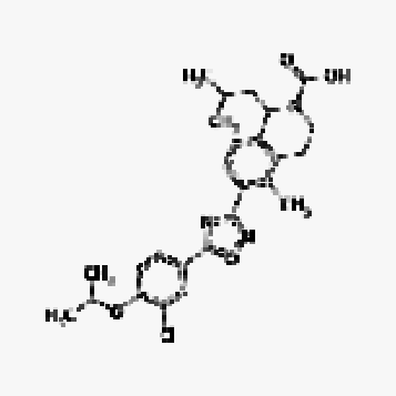 Cc1c(-c2noc(-c3ccc(OC(C)C)c(Cl)c3)n2)ccc2c1CCN(C(=O)O)C2CC(C)C